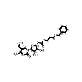 C=Cc1cn([C@@H]2O[C@H](CC(=O)OCCCOCc3ccccc3)[C@@H](O)[C@H]2O)c(=O)nc1N